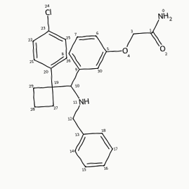 NC(=O)COc1cccc(C(NCc2ccccc2)C2(c3ccc(Cl)cc3)CCC2)c1